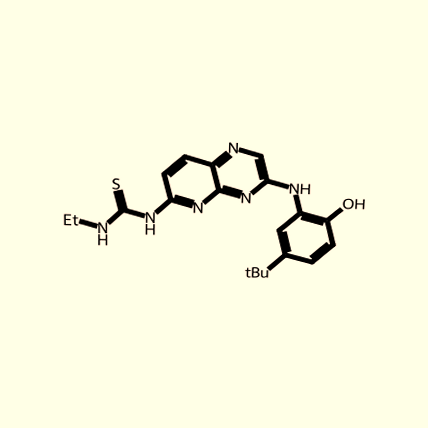 CCNC(=S)Nc1ccc2ncc(Nc3cc(C(C)(C)C)ccc3O)nc2n1